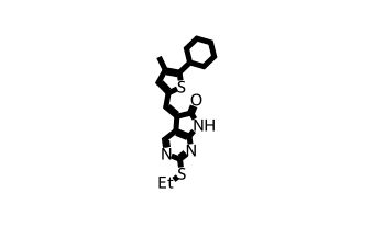 CCSc1ncc2c(n1)NC(=O)C2=Cc1cc(C)c(C2CCCCC2)s1